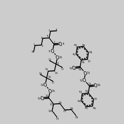 CCCCC(CC)C(=O)OOC(C)(C)CCC(C)(C)OOC(=O)C(CC)CCCC.O=C(OOC(=O)c1ccccc1)c1ccccc1